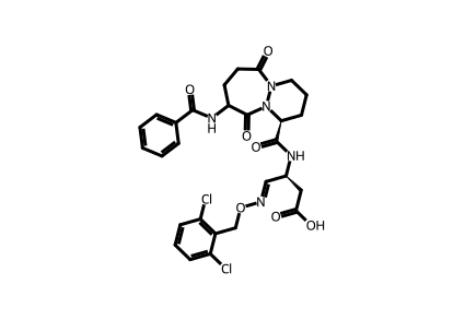 O=C(O)C[C@@H](/C=N/OCc1c(Cl)cccc1Cl)NC(=O)[C@@H]1CCCN2C(=O)CCC(NC(=O)c3ccccc3)C(=O)N12